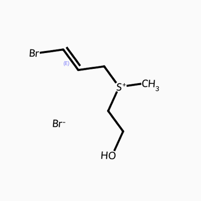 C[S+](C/C=C/Br)CCO.[Br-]